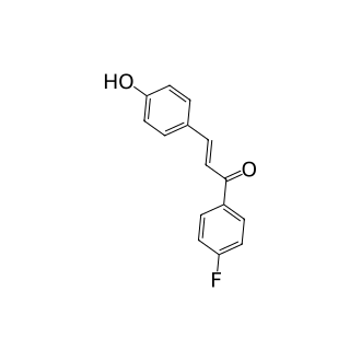 O=C(C=Cc1ccc(O)cc1)c1ccc(F)cc1